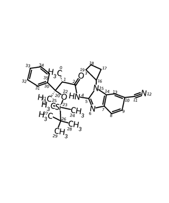 C[C@H](C(=O)Nc1nc2ccc(C#N)cc2n1C1CCC1)[C@@](C)(O[Si](C)(C)C(C)(C)C)c1ccccc1